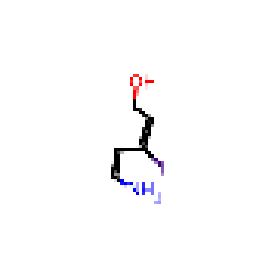 N/C=C\C(I)=C/CO